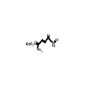 CCNC(=O)CCC(N)C(=O)OCC